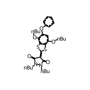 CCCCOc1cc(Oc2ccccc2)c(OCCCC)c2c1SC(=C1C(=O)N(CCCC)N(CCCC)C1=O)S2